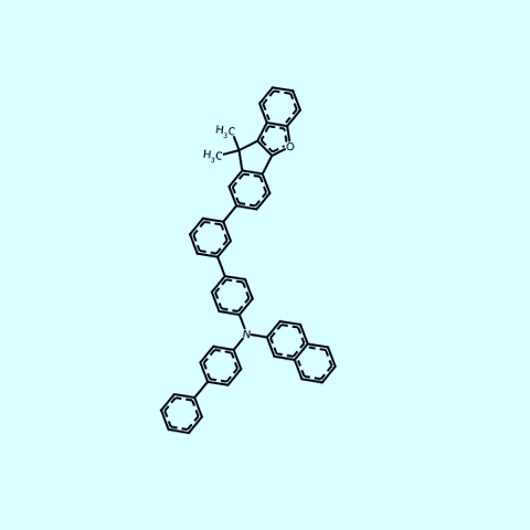 CC1(C)c2cc(-c3cccc(-c4ccc(N(c5ccc(-c6ccccc6)cc5)c5ccc6ccccc6c5)cc4)c3)ccc2-c2oc3ccccc3c21